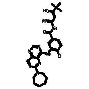 CC(C)(C)/C(O)=C/C(=N)NC(=O)c1ccc(Cl)c(Nc2ncnc3cnc(N4CCCCCC4)nc23)c1